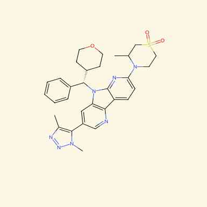 Cc1nnn(C)c1-c1cnc2c3ccc(N4CCS(=O)(=O)CC4C)nc3n([C@H](c3ccccc3)C3CCOCC3)c2c1